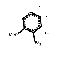 COc1ccccc1[N+](=O)[O-].[Fe]